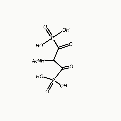 CC(=O)NC(C(=O)P(=O)(O)O)C(=O)P(=O)(O)O